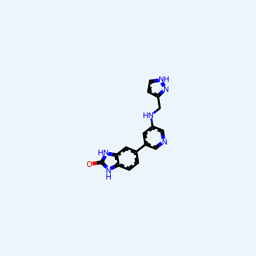 O=c1[nH]c2ccc(-c3cncc(NCc4cc[nH]n4)c3)cc2[nH]1